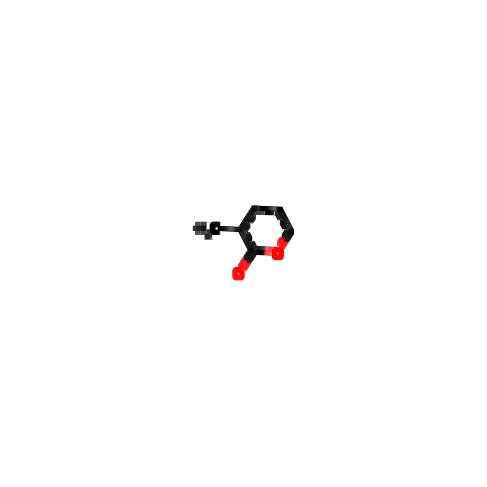 [CH2]c1cccoc1=O